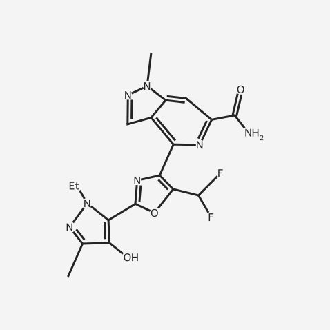 CCn1nc(C)c(O)c1-c1nc(-c2nc(C(N)=O)cc3c2cnn3C)c(C(F)F)o1